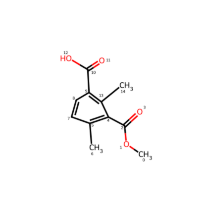 COC(=O)c1c(C)ccc(C(=O)O)c1C